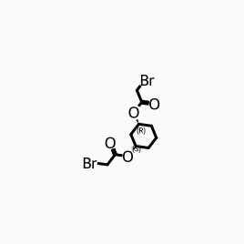 O=C(CBr)O[C@@H]1CCC[C@H](OC(=O)CBr)C1